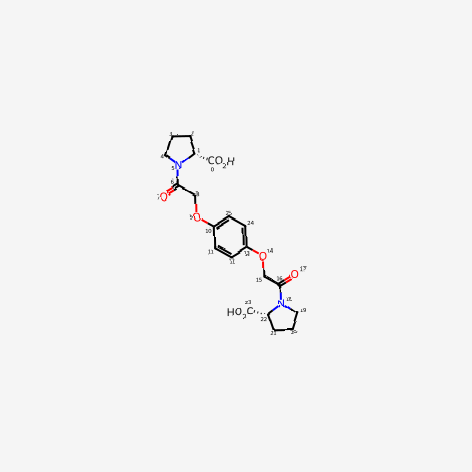 O=C(O)[C@H]1CCCN1C(=O)COc1ccc(OCC(=O)N2CCC[C@@H]2C(=O)O)cc1